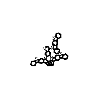 c1ccc2c(c1)sc1cc3c(cc12)c1ccccc1n3-c1cc2nccc(-n3c4ccccc4c4cc5c(cc43)sc3ccccc35)c2cc1-n1c2ccccc2c2cc3c(cc21)sc1ccccc13